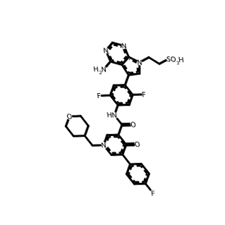 Nc1ncnc2c1c(-c1cc(F)c(NC(=O)c3cn(CC4CCOCC4)cc(-c4ccc(F)cc4)c3=O)cc1F)cn2CCS(=O)(=O)O